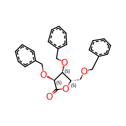 O=C1O[C@@H](COCc2ccccc2)[C@H](OCc2ccccc2)[C@@H]1OCc1ccccc1